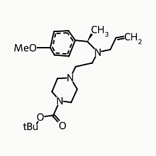 C=CCN(CCN1CCN(C(=O)OC(C)(C)C)CC1)[C@H](C)c1ccc(OC)cc1